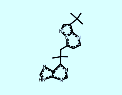 CC(C)(C)c1cnn2c(CC(C)(C)c3ncnc4[nH]cnc34)ccnc12